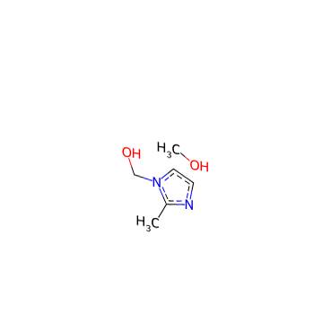 CO.Cc1nccn1CO